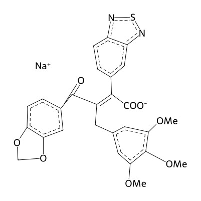 COc1cc(C/C(C(=O)c2ccc3c(c2)OCO3)=C(\C(=O)[O-])c2ccc3nsnc3c2)cc(OC)c1OC.[Na+]